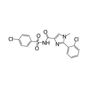 Cn1cc(C(=O)NS(=O)(=O)c2ccc(Cl)cc2)nc1-c1ccccc1Cl